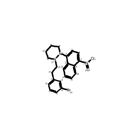 O=[N+]([O-])c1ccc(N2CCCCN2CCc2cccc(Br)c2)c2ccccc12